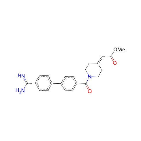 COC(=O)C=C1CCN(C(=O)c2ccc(-c3ccc(C(=N)N)cc3)cc2)CC1